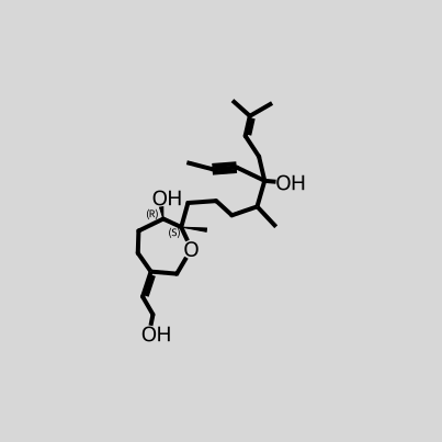 CC#CC(O)(CC=C(C)C)C(C)CCC[C@]1(C)OCC(=CCO)CC[C@H]1O